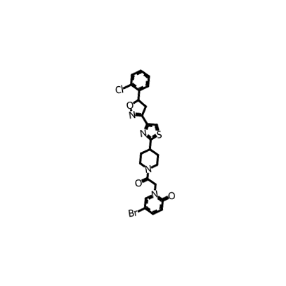 O=C(Cn1cc(Br)ccc1=O)N1CCC(c2nc(C3=NOC(c4ccccc4Cl)C3)cs2)CC1